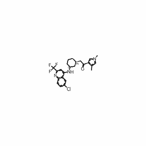 Cc1cn(C)cc1C(=O)C[C@@H]1CCC[C@H](Nc2cc(C(F)(F)F)nc3ccc(Cl)cc23)C1